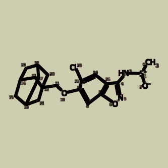 C[S+]([O-])Nc1noc2cc(OCC34CC5CC(CC(C5)C3)C4)c(Cl)cc12